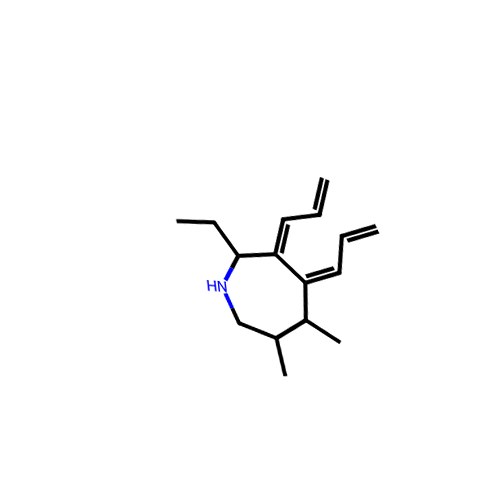 C=C/C=C1\C(=C/C=C)C(CC)NCC(C)C1C